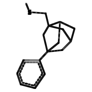 CSCC12CC3CC1CC(c1ccccc1)(C3)C2